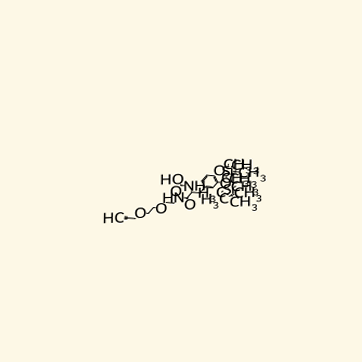 C#CCOCCOCCNC(=O)C(Cc1ccc(O[Si](C)(C)C(C)(C)C)c(O[Si](C)(C)C(C)(C)C)c1)NC(=O)O